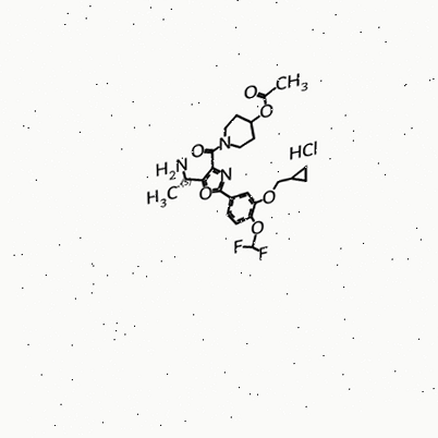 CC(=O)OC1CCN(C(=O)c2nc(-c3ccc(OC(F)F)c(OCC4CC4)c3)oc2[C@H](C)N)CC1.Cl